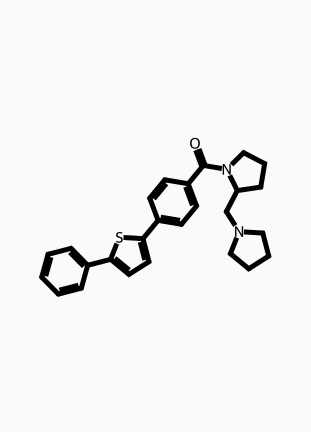 O=C(c1ccc(-c2ccc(-c3ccccc3)s2)cc1)N1CCCC1CN1CCCC1